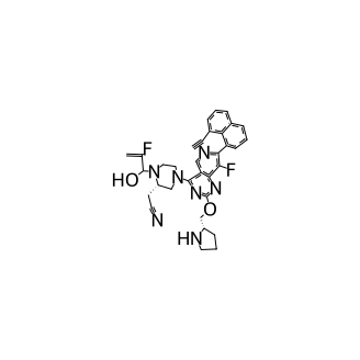 C#Cc1cccc2cccc(-c3ncc4c(N5CCN(C(O)C(=C)F)[C@@H](CC#N)C5)nc(OC[C@@H]5CCCN5)nc4c3F)c12